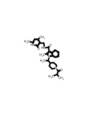 Cc1cc(C)c(CNC(=O)c2c(C)n(C(C)C3CCN(C(=O)C(C)C)CC3)c3ccccc23)c(=O)[nH]1